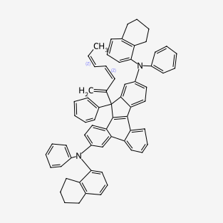 C=C(/C=C\C=C/C)C1(c2ccccc2)c2cc(N(c3ccccc3)c3cccc4c3CCCC4)ccc2-c2c1c1ccc(N(c3ccccc3)c3cccc4c3CCCC4)cc1c1ccccc21